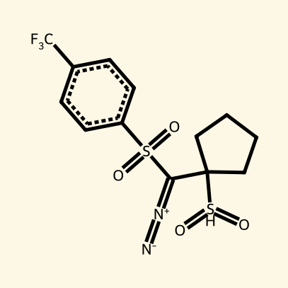 [N-]=[N+]=C(C1([SH](=O)=O)CCCC1)S(=O)(=O)c1ccc(C(F)(F)F)cc1